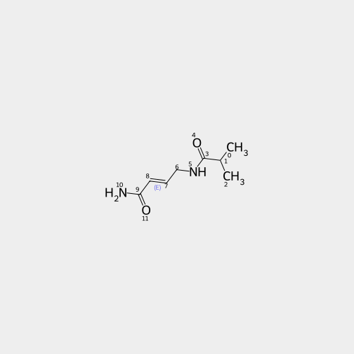 CC(C)C(=O)NC/C=C/C(N)=O